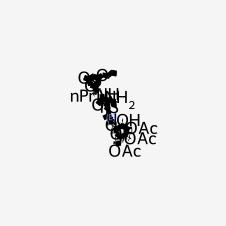 C=CCOc1cc([C@@H](CCC)NC(=O)[C@]2(N)CSC(/C(C)=N/O[C@H]3O[C@H](CCOC(C)=O)[C@@H](OC(C)=O)[C@H](OC(C)=O)[C@H]3O)=N2)oc(=O)c1